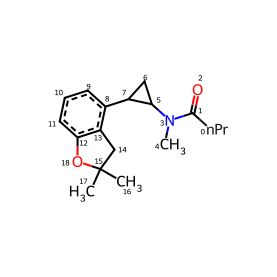 CCCC(=O)N(C)C1CC1c1cccc2c1CC(C)(C)O2